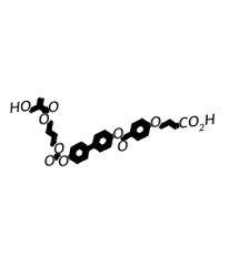 C=C(CO)C(=O)OCCCCOC(=O)Oc1ccc(-c2ccc(OC(=O)c3ccc(OCCCC(=O)O)cc3)cc2)cc1